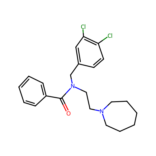 O=C(c1ccccc1)N(CCN1CCCCCC1)Cc1ccc(Cl)c(Cl)c1